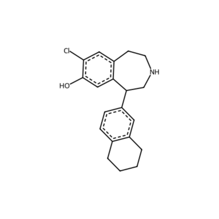 Oc1cc2c(cc1Cl)CCNCC2c1ccc2c(c1)CCCC2